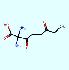 CCC(=O)CCC(=O)C(N)(N)C(=O)O